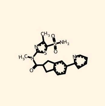 Cc1nc(N(C)C(=O)C2Cc3ccc(-c4ccccn4)cc3C2)sc1S(N)(=O)=O